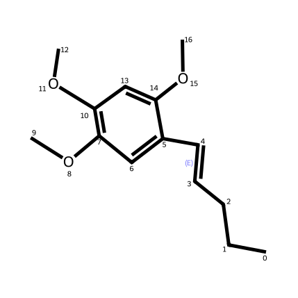 CCC/C=C/c1cc(OC)c(OC)cc1OC